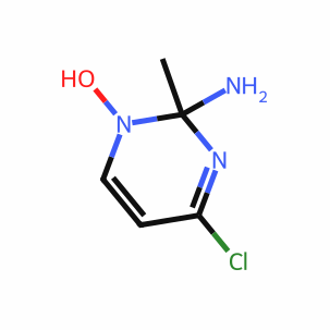 CC1(N)N=C(Cl)C=CN1O